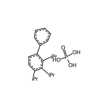 CC(C)c1ccc(-c2ccccc2)c(C(C)C)c1C(C)C.O=P(O)(O)O